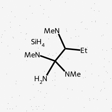 CCC(NC)C(N)(NC)NC.[SiH4]